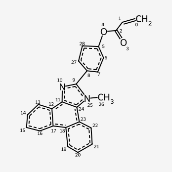 C=CC(=O)Oc1ccc(-c2nc3c4ccccc4c4ccccc4c3n2C)cc1